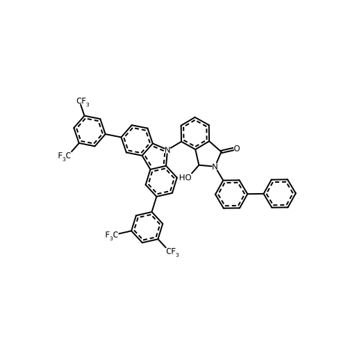 O=C1c2cccc(-n3c4ccc(-c5cc(C(F)(F)F)cc(C(F)(F)F)c5)cc4c4cc(-c5cc(C(F)(F)F)cc(C(F)(F)F)c5)ccc43)c2C(O)N1c1cccc(-c2ccccc2)c1